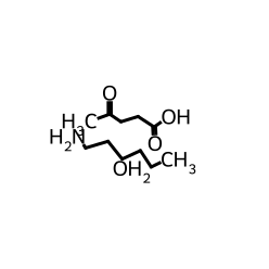 CC(=O)CCC(=O)O.CCCCCCN.O